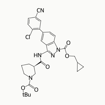 CC(C)(C)OC(=O)N1CCC[C@@H](C(=O)Nc2nn(C(=O)OCC3CC3)c3ccc(-c4cc(C#N)ccc4Cl)cc23)C1